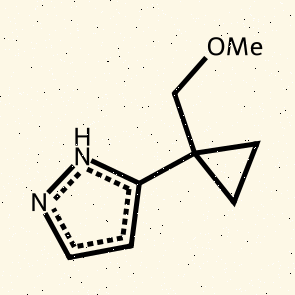 COCC1(c2ccn[nH]2)CC1